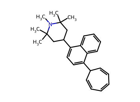 CN1C(C)(C)CC(c2ccc(C3C=CC=CC=C3)c3ccccc23)CC1(C)C